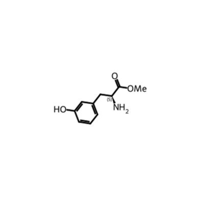 COC(=O)[C@@H](N)Cc1cccc(O)c1